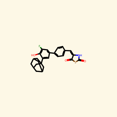 O=C1NC(=Cc2ccc(-c3cc(F)c(O)c(C45CC6CC(CC(C6)C4)C5)c3)cc2)C(=O)S1